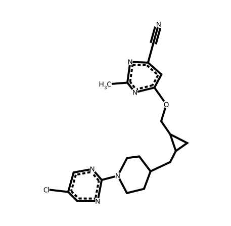 Cc1nc(C#N)cc(OCC2CC2CC2CCN(c3ncc(Cl)cn3)CC2)n1